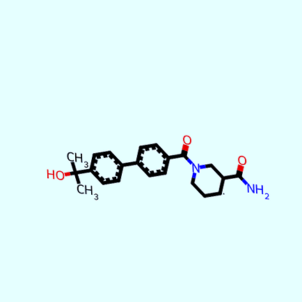 CC(C)(O)c1ccc(-c2ccc(C(=O)N3CC[CH]C(C(N)=O)C3)cc2)cc1